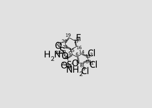 NS(=O)(=O)/C=C(\c1cc(Cl)c(Cl)c(Cl)c1)c1cc(F)ccc1S(N)(=O)=O